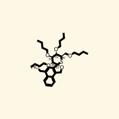 CCCCOC[C@H]1S[C@]2(OCc3c2cc(CO)c2ccccc32)[C@H](OCCCC)[C@@H](OCCCC)[C@@H]1OCCCC